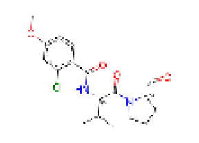 COc1ccc(C(=O)N[C@H](C(=O)N2CCC[C@H]2C=O)C(C)C)c(Cl)c1